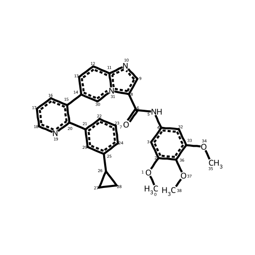 COc1cc(NC(=O)c2cnc3ccc(-c4cccnc4-c4cccc(C5CC5)c4)cn23)cc(OC)c1OC